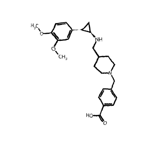 COc1ccc([C@@H]2C[C@H]2NCC2CCN(Cc3ccc(C(=O)O)cc3)CC2)cc1OC